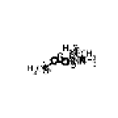 COC(=O)[C@@H](NS(=O)(=O)c1ccc2c(c1)oc1ccc(-c3noc(C)n3)cc12)C(C)C